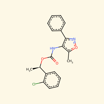 Cc1onc(-c2ccccc2)c1NC(=O)O[C@H](C)c1ccccc1Cl